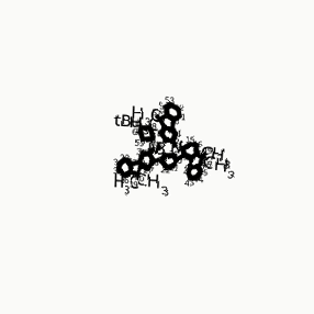 CC(C)(C)c1ccc(N2B3c4cc5c(cc4-n4c6ccc7c(c6c6ccc(c3c64)-c3cc4c(cc32)-c2ccccc2C4(C)C)-c2ccccc2C7(C)C)-c2ccccc2C5(C)C)cc1